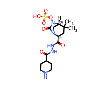 CC1(C)C[C@@H](C(=O)NNC(=O)C2CCNCC2)N2C[C@@H]1N(OS(=O)(=O)O)C2=O